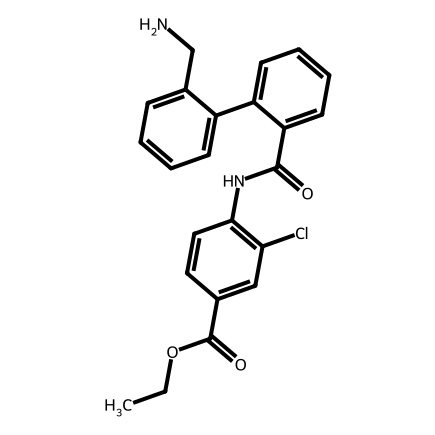 CCOC(=O)c1ccc(NC(=O)c2ccccc2-c2ccccc2CN)c(Cl)c1